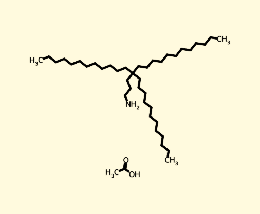 CC(=O)O.CCCCCCCCCCCCC(CCCN)(CCCCCCCCCCCC)CCCCCCCCCCCC